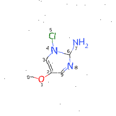 COC1=CN(Cl)C(N)N=C1